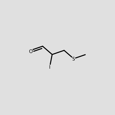 CSCC(I)C=O